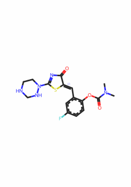 CN(C)C(=O)Oc1ccc(F)cc1/C=C1\SC(N2CCNCN2)=NC1=O